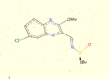 COc1nc2ccc(Cl)cc2nc1C=N[S@@+]([O-])C(C)(C)C